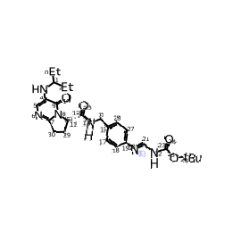 CCC(CC)Nc1cnc2n(c1=O)[C@H](C(=O)NCc1ccc(/N=C/NC(=O)OC(C)(C)C)cc1)CC2